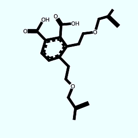 C=C(C)COCCc1ccc(C(=O)O)c(C(=O)O)c1CCOCC(=C)C